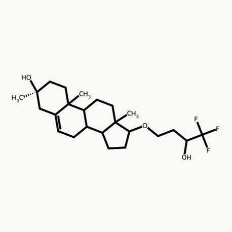 CC12CC[C@](C)(O)CC1=CCC1C2CCC2(C)C(OCCC(O)C(F)(F)F)CCC12